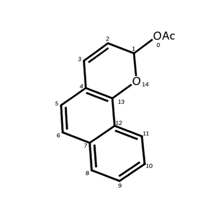 CC(=O)OC1C=Cc2ccc3ccccc3c2O1